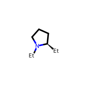 CC[C@@H]1CCCN1CC